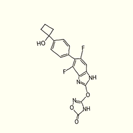 O=c1[nH]c(Oc2nc3c(F)c(-c4ccc(C5(O)CCC5)cc4)c(F)cc3[nH]2)no1